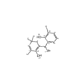 CC1=CC(C)(C)CC(C(c2cccc(C)c2O)C(C)C)=C1O